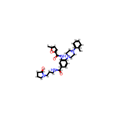 Cc1ccc(C(=O)Nc2cc(C(=O)NCCCN3CCCC3=O)ccc2N2CCN(c3ccccc3C)CC2)o1